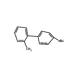 [CH2]c1ccccc1-c1ccc(CCCC)cc1